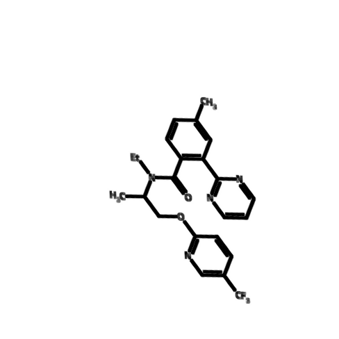 CCN(C(=O)c1ccc(C)cc1-c1ncccn1)C(C)COc1ccc(C(F)(F)F)cn1